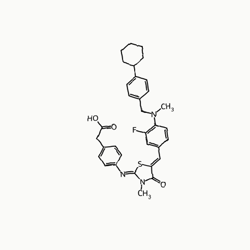 CN1C(=O)C(=Cc2ccc(N(C)Cc3ccc(C4CCCCC4)cc3)c(F)c2)SC1=Nc1ccc(CC(=O)O)cc1